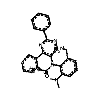 CN(C)c1cccc(CN)c1N(C(N)=O)c1cnc(-c2ccccc2)nc1-c1ccccc1Cl